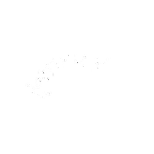 CCC(=O)N1CCC(CC(=O)N2CCCN(Cc3ccc(NC(=O)NC45CC6C[C@@](C)(C4)C[C@](C)(C6)C5)c(F)c3)CC2)CC1